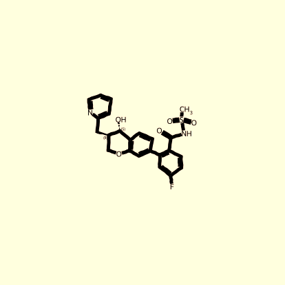 CS(=O)(=O)NC(=O)c1ccc(F)cc1-c1ccc2c(c1)OC[C@@H](Cc1ccccn1)[C@@H]2O